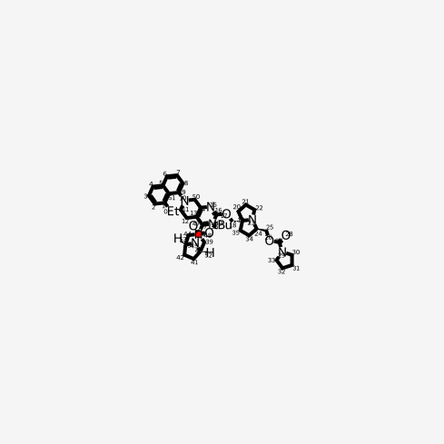 CCc1cccc2cccc(N3CCc4c(nc(OC[C@]56CCCN5[C@@H](COC(=O)N5CCCC5)CC6)nc4N4C[C@H]5CC[C@@H](C4)N5C(=O)OC(C)(C)C)C3)c12